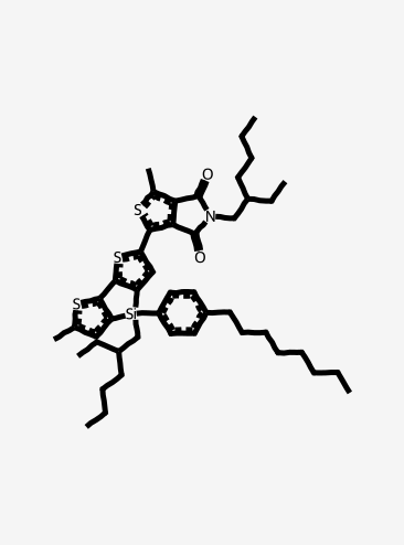 CCCCCCCCc1ccc([Si]2(CC(CC)CCCC)c3cc(C)sc3-c3sc(-c4sc(C)c5c4C(=O)N(CC(CC)CCCC)C5=O)cc32)cc1